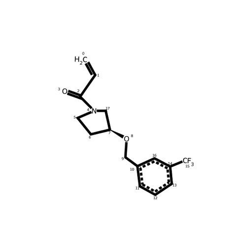 C=CC(=O)N1CC[C@H](OCc2cccc(C(F)(F)F)c2)C1